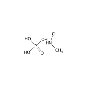 CNCl.O=P(O)(O)O